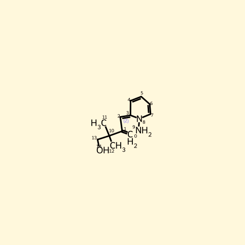 C=C(/C=C1/C=CC=CN1N)C(C)(C)CO